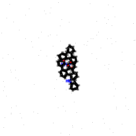 NN(C(=O)c1c(-c2ccccc2)cccc1-c1c(-c2ccccc2)ccc2c1[nH]c1ccccc12)c1cccc2c3ccccc3c3ccccc3c12